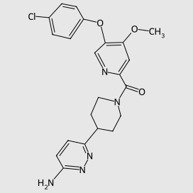 COc1cc(C(=O)N2CCC(c3ccc(N)nn3)CC2)ncc1Oc1ccc(Cl)cc1